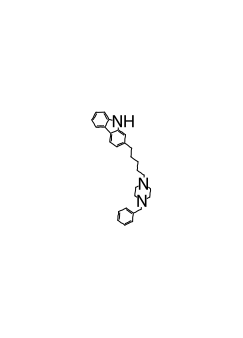 c1ccc(CN2CCN(CCCCCc3ccc4c(c3)[nH]c3ccccc34)CC2)cc1